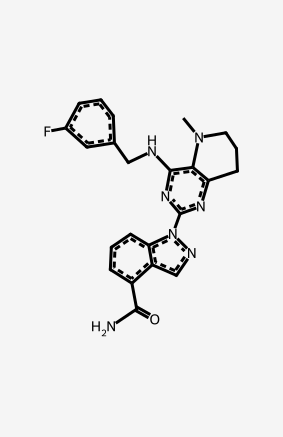 CN1CCCc2nc(-n3ncc4c(C(N)=O)cccc43)nc(NCc3cccc(F)c3)c21